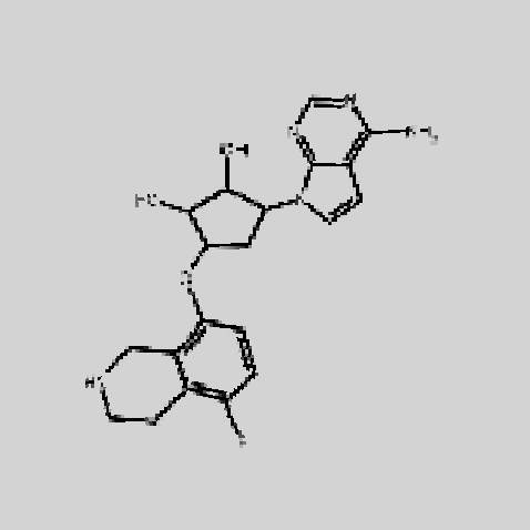 Nc1ncnc2c1ccn2C1CC(Oc2ccc(F)c3c2CNCC3)C(O)C1O